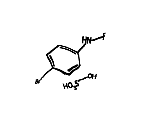 FNc1ccc(Br)cc1.O=S(=O)(O)O